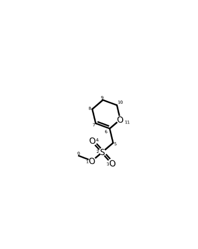 COS(=O)(=O)CC1=CCCCO1